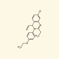 CCOc1ccc(N2C(CC)=Nc3cc(Cl)ccc3C2C=O)cc1